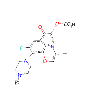 CCN1CCN(c2c(F)cc3c(=O)c(OC(=O)O)cn4c3c2OC=C4C)CC1